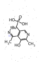 C/C(=N/C(C)(C)C)c1c(CP(=O)(O)O)cnc(C)c1O